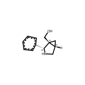 OC[C@@]12C[C@@H]1CN[C@@H]2c1ccccc1